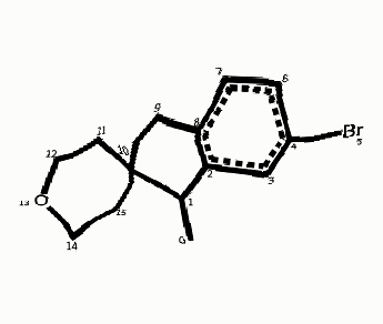 CC1c2cc(Br)ccc2CC12CCOCC2